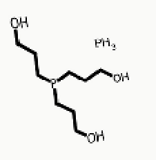 OCCCP(CCCO)CCCO.P